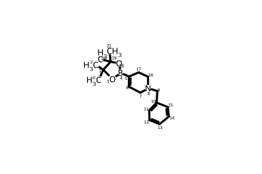 CC1(C)OB(C2=CCN(Cc3ccccc3)CC2)OC1(C)C